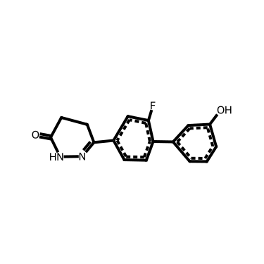 O=C1CCC(c2ccc(-c3cccc(O)c3)c(F)c2)=NN1